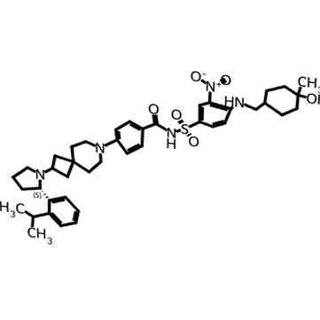 CC(C)c1ccccc1[C@@H]1CCCN1C1CC2(CCN(c3ccc(C(=O)NS(=O)(=O)c4ccc(NCC5CCC(C)(O)CC5)c([N+](=O)[O-])c4)cc3)CC2)C1